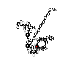 COCCOCCOCCOCCOCCOCCOCCOCCN(Cc1ccccc1C(=O)Nc1nc2c(ncn2[C@@H]2O[C@@H]3CO[P@@](=O)(S)O[C@H]4C[C@H](Oc5ccncn5)C[C@@H]4CCO[P@@](=O)(S)O[C@@H]2[C@@H]3O)c(=O)[nH]1)C(=O)OCc1ccc(NC(=O)[C@H](C)NC(=O)[C@@H](NC(=O)CN2C(=O)C=CC2=O)C(C)C)cc1